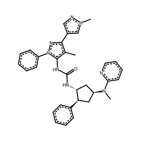 Cc1c(-c2cnn(C)c2)nn(-c2ccccc2)c1NC(=O)N[C@@H]1C[C@@H](N(C)c2ccccn2)C[C@H]1c1ccccc1